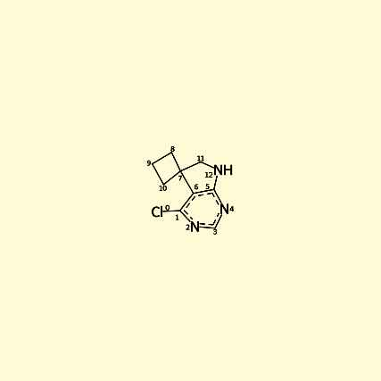 Clc1ncnc2c1C1(CCC1)CN2